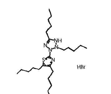 Br.CCCCCC1=NN(c2nc(CCCCC)c(CCCCC)s2)N(CCCCC)N1